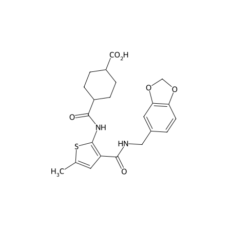 Cc1cc(C(=O)NCc2ccc3c(c2)OCO3)c(NC(=O)C2CCC(C(=O)O)CC2)s1